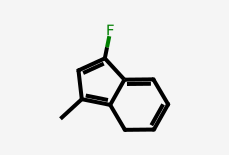 CC1=C2CC=CC=C2C(F)=C1